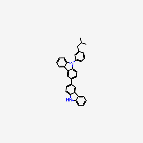 CC(C)Cc1cccc(-n2c3ccccc3c3cc(-c4ccc5[nH]c6ccccc6c5c4)ccc32)c1